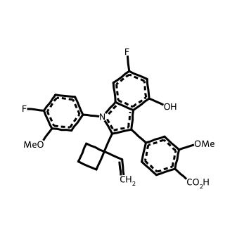 C=CC1(c2c(-c3ccc(C(=O)O)c(OC)c3)c3c(O)cc(F)cc3n2-c2ccc(F)c(OC)c2)CCC1